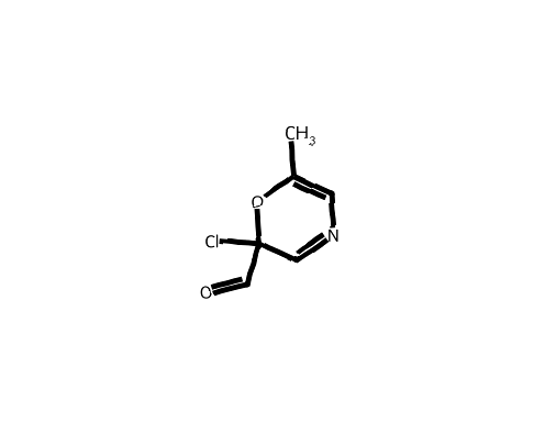 CC1=CN=CC(Cl)(C=O)O1